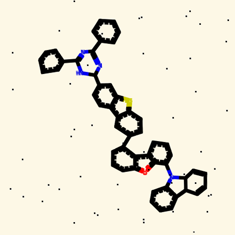 C1=CC2c3ccccc3N(c3cccc4c3oc3cccc(-c5ccc6sc7cc(C8N=C(c9ccccc9)N=C(c9ccccc9)N8)ccc7c6c5)c34)C2C=C1